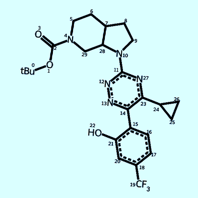 CC(C)(C)OC(=O)N1CCC2CCN(c3nnc(-c4ccc(C(F)(F)F)cc4O)c(C4CC4)n3)C2C1